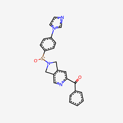 O=C(c1ccccc1)c1cc2c(cn1)CN([S+]([O-])c1ccc(-n3ccnc3)cc1)C2